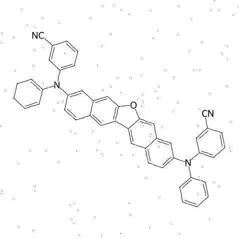 N#Cc1cccc(N(C2=CCCC=C2)c2ccc3cc4c(cc3c2)oc2cc3cc(N(c5ccccc5)c5cccc(C#N)c5)ccc3cc24)c1